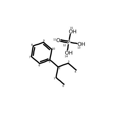 CCC(CC)c1ccccc1.O=P(O)(O)O